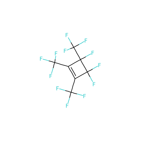 FC(F)(F)C1=C(C(F)(F)F)C(F)(C(F)(F)F)C1(F)F